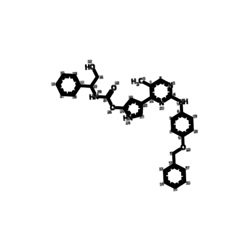 Cc1cnc(Nc2ccc(OCc3ccccc3)cc2)nc1-c1c[nH]c(OC(=O)NC(CO)c2ccccc2)c1